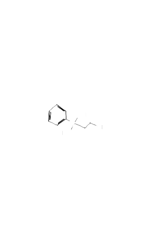 O[Si](O)(CCC(F)(F)F)c1ccccc1